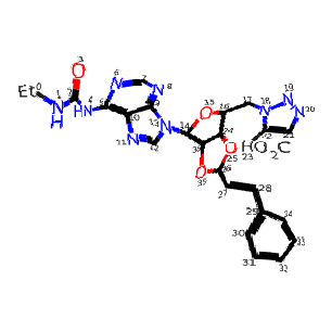 CCNC(=O)Nc1ncnc2c1ncn2C1OC(Cn2nncc2C(=O)O)C2OC(/C=C/c3ccccc3)OC21